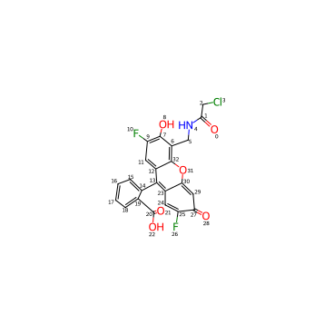 O=C(CCl)NCc1c(O)c(F)cc2c(-c3ccccc3C(=O)O)c3cc(F)c(=O)cc-3oc12